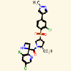 Cn1cc(-c2ccc(S(=O)(=O)[C@@H]3C[C@@H](C(=O)O)N(C(=O)C4(c5ncc(Cl)cc5F)CCN4)C3)c(Cl)c2)cn1